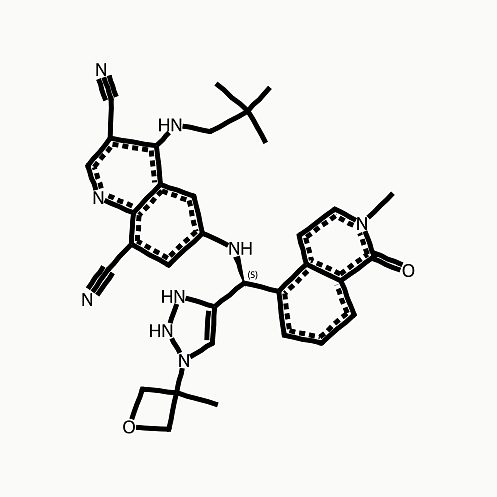 Cn1ccc2c([C@H](Nc3cc(C#N)c4ncc(C#N)c(NCC(C)(C)C)c4c3)C3=CN(C4(C)COC4)NN3)cccc2c1=O